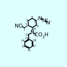 N#CC[C@H]1CC[C@H](N=[N+]=[N-])C[C@H]1N(Cc1ccccc1)C(=O)O